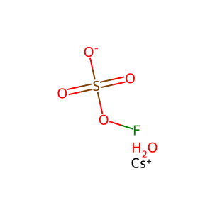 O.O=S(=O)([O-])OF.[Cs+]